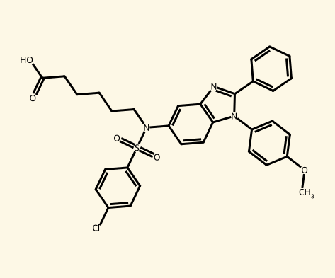 COc1ccc(-n2c(-c3ccccc3)nc3cc(N(CCCCCC(=O)O)S(=O)(=O)c4ccc(Cl)cc4)ccc32)cc1